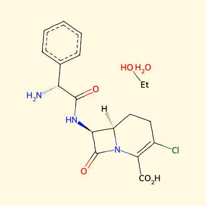 CCO.N[C@@H](C(=O)N[C@@H]1C(=O)N2C(C(=O)O)=C(Cl)CC[C@H]12)c1ccccc1.O